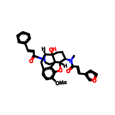 COc1ccc2c3c1O[C@H]1[C@H](N(C)C(=O)/C=C/c4ccoc4)CCC4(O)[C@@H](C2)N(C(=O)/C=C/c2ccccc2)CC[C@]314